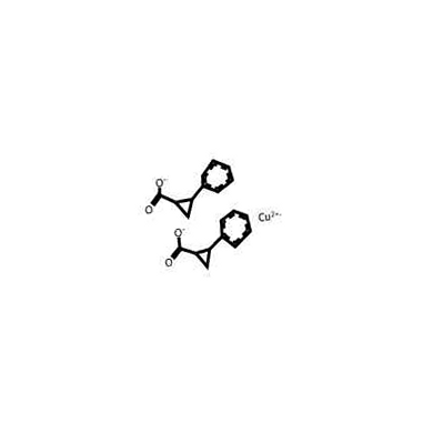 O=C([O-])C1CC1c1ccccc1.O=C([O-])C1CC1c1ccccc1.[Cu+2]